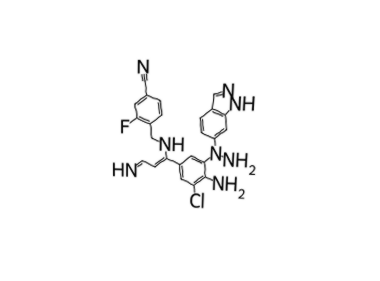 N#Cc1ccc(CN/C(=C\C=N)c2cc(Cl)c(N)c(N(N)c3ccc4cn[nH]c4c3)c2)c(F)c1